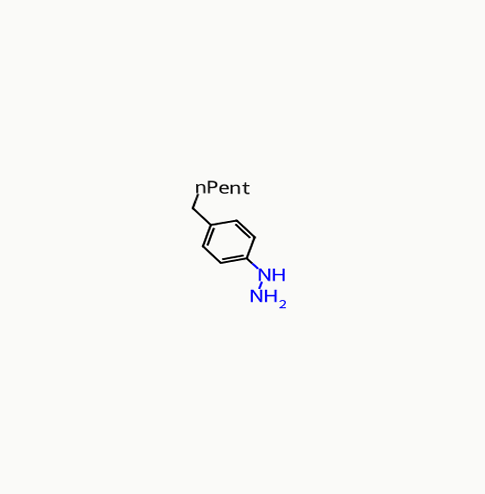 CCCCCCc1ccc(NN)cc1